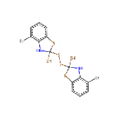 CCc1cccc2c1NC(S)(SSC1(S)Nc3c(CC)cccc3S1)S2